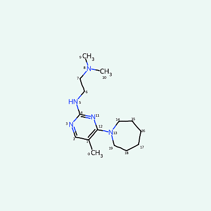 Cc1cnc(NCCN(C)C)nc1N1CCCCCC1